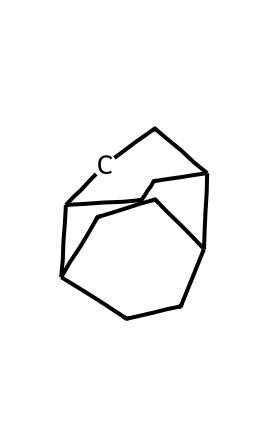 C1CC2CCC1C1CCC2CC1